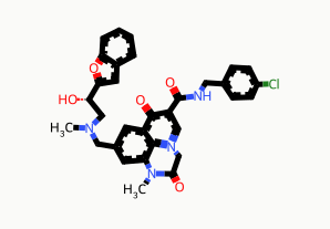 CN(Cc1cc2c3c(c1)c(=O)c(C(=O)NCc1ccc(Cl)cc1)cn3CC(=O)N2C)C[C@H](O)c1cc2ccccc2o1